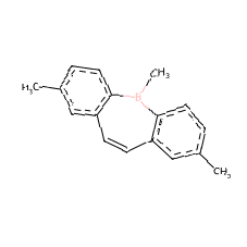 CB1c2ccc(C)cc2C=Cc2cc(C)ccc21